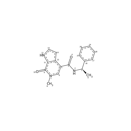 C[C@@H](NC(=O)c1cn(C)c(=O)c2[nH]ccc12)c1ccccc1